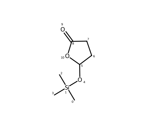 C[Si](C)(C)OC1CCC(=O)O1